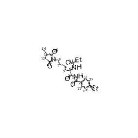 CCC(=O)NC(CCCCN1C(=O)CC(C)C1=O)C(=O)NC(=O)c1ccc(CC)cc1